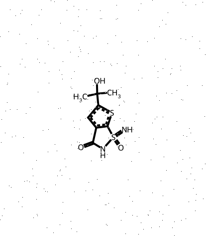 CC(C)(O)c1cc2c(s1)S(=N)(=O)NC2=O